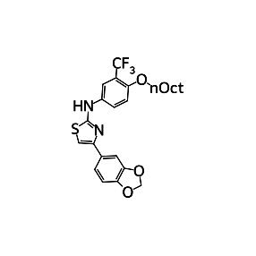 CCCCCCCCOc1ccc(Nc2nc(-c3ccc4c(c3)OCO4)cs2)cc1C(F)(F)F